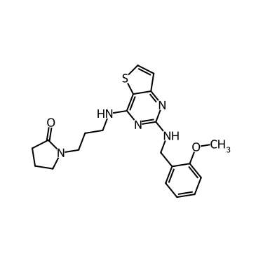 COc1ccccc1CNc1nc(NCCCN2CCCC2=O)c2sccc2n1